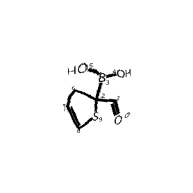 O=CC1(B(O)O)CC=CS1